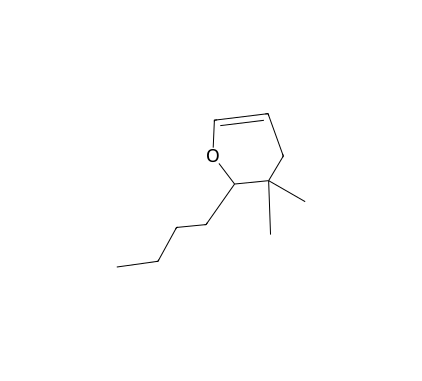 CCCCC1OC=CCC1(C)C